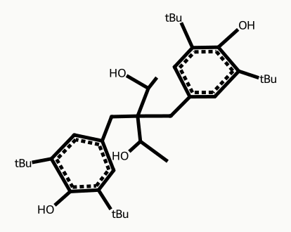 CC(O)C(Cc1cc(C(C)(C)C)c(O)c(C(C)(C)C)c1)(Cc1cc(C(C)(C)C)c(O)c(C(C)(C)C)c1)C(C)O